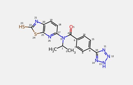 CC(C)N(C(=O)c1ccc(-c2nn[nH]n2)cc1)c1ccc2nc(S)sc2n1